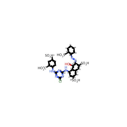 O=C(O)c1cc(S(=O)(=O)O)ccc1Nc1nc(Cl)nc(Nc2cc(S(=O)(=O)O)cc3cc(S(=O)(=O)O)c(/N=N/c4ccccc4S(=O)(=O)O)c(O)c23)n1